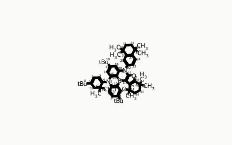 CC(C)(C)C1=CC=C(N2c3ccc(C(C)(C)C)cc3B3c4c2cc(C(C)(C)C)cc4N(c2ccc4c(c2)C(C)(C)CCC4(C)C)c2oc4c(c23)C(C)(C)CCC4(C)C)C(C)(C)C1